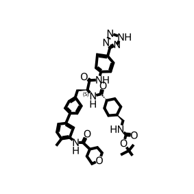 Cc1ccc(-c2ccc(C[C@H](NC(=O)[C@H]3CC[C@H](CNC(=O)OC(C)(C)C)CC3)C(=O)Nc3ccc(-c4nn[nH]n4)cc3)cc2)cc1NC(=O)C1CCOCC1